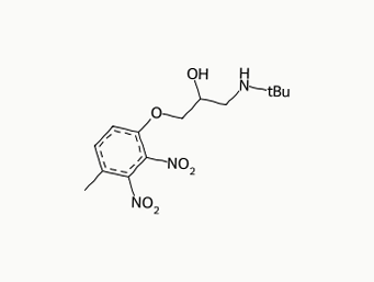 Cc1ccc(OCC(O)CNC(C)(C)C)c([N+](=O)[O-])c1[N+](=O)[O-]